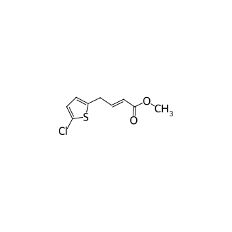 COC(=O)C=CCc1ccc(Cl)s1